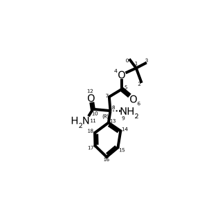 CC(C)(C)OC(=O)C[C@](N)(C(N)=O)c1ccccc1